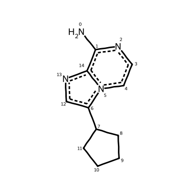 Nc1nccn2c(C3CCCC3)cnc12